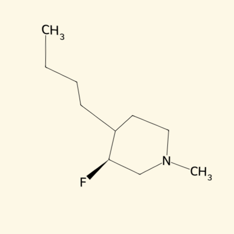 CCCCC1CCN(C)C[C@H]1F